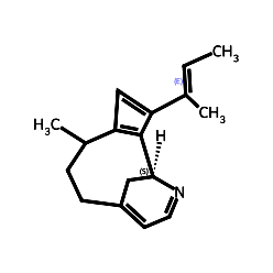 C/C=C(\C)C1=CC2=C1[C@@H]1CC(=CC=N1)CCC2C